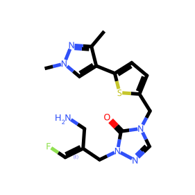 Cc1nn(C)cc1-c1ccc(Cn2cnn(C/C(=C/F)CN)c2=O)s1